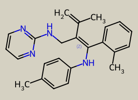 C=C(C)/C(CNc1ncccn1)=C(/Nc1ccc(C)cc1)c1ccccc1C